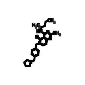 CCC[C@@H](C)Nc1nc(N)nc2ccn(Cc3ccc(CN4CCCC4)cc3)c(=O)c12